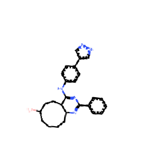 BC1CCCCC2N=C(c3ccccc3)N=C(Nc3ccc(-c4cn[nH]c4)cc3)C2CC1